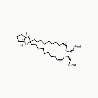 CCCCC/C=C\C/C=C\CCCCCCCCC1(CCCCCCCC/C=C\C/C=C\CCCCC)O[C@H]2CCC[C@H]2O1